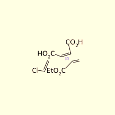 C=CC(=O)OCC.C=CCl.O=C(O)/C=C\C(=O)O